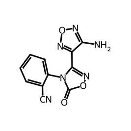 N#Cc1ccccc1-n1c(-c2nonc2N)noc1=O